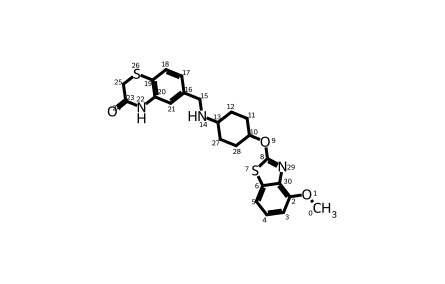 COc1cccc2sc(OC3CCC(NCc4ccc5c(c4)NC(=O)CS5)CC3)nc12